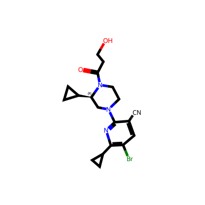 N#Cc1cc(Br)c(C2CC2)nc1N1CCN(C(=O)CCO)[C@H](C2CC2)C1